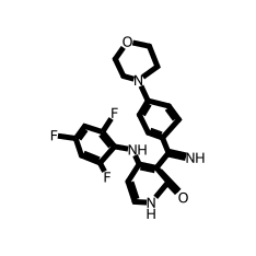 N=C(c1ccc(N2CCOCC2)cc1)c1c(Nc2c(F)cc(F)cc2F)cc[nH]c1=O